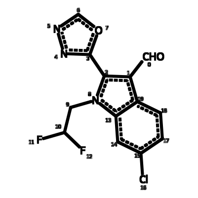 O=Cc1c(-c2nnco2)n(CC(F)F)c2cc(Cl)ccc12